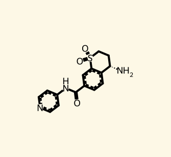 N[C@H]1CCS(=O)(=O)c2cc(C(=O)Nc3ccncc3)ccc21